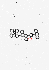 c1ccc([Si]2(c3ccccc3)c3ccccc3-c3ccc(-c4cc5c6cccc7c6c(cc5c5ccccc45)-c4ccc(-c5c6ccccc6cc6ccccc56)cc4O7)cc32)cc1